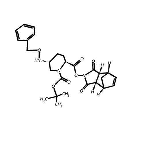 CC(C)(C)OC(=O)N1C[C@H](NOCc2ccccc2)CC[C@H]1C(=O)ON1C(=O)[C@@H]2[C@H](C1=O)[C@@H]1C=C[C@H]2C1